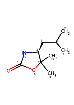 CC(C)C[C@@H]1NC(=O)OC1(C)C